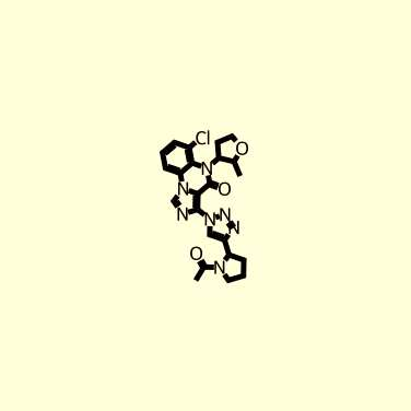 CC(=O)N1CCCC1c1cn(-c2ncn3c2c(=O)n(C2CCOC2C)c2c(Cl)cccc23)nn1